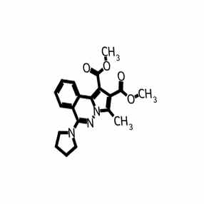 COC(=O)c1c(C(=O)OC)c2c3ccccc3c(N3CCCC3)nn2c1C